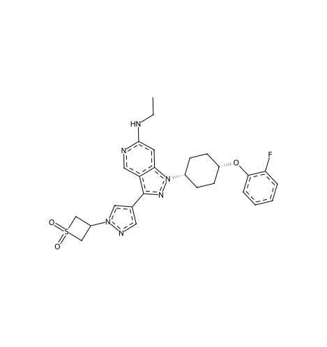 CCNc1cc2c(cn1)c(-c1cnn(C3CS(=O)(=O)C3)c1)nn2[C@H]1CC[C@@H](Oc2ccccc2F)CC1